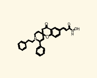 O=C(C=Cc1ccc2c(c1)C(=O)CC1(CCN(CCc3ccccc3)C(c3ccccc3)C1)O2)NO